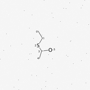 CCSC(C)[O]